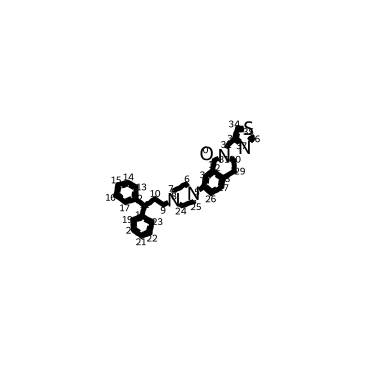 O=C1c2cc(N3CCN(CCC(c4ccccc4)c4ccccc4)CC3)ccc2CCN1Cc1cscn1